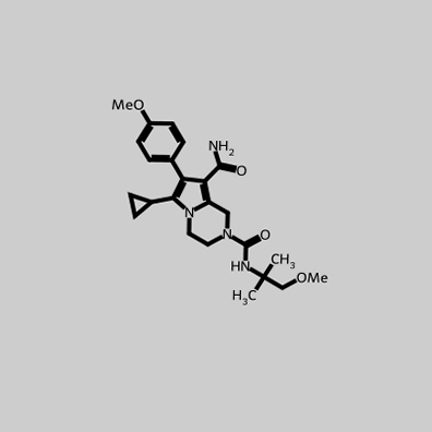 COCC(C)(C)NC(=O)N1CCn2c(c(C(N)=O)c(-c3ccc(OC)cc3)c2C2CC2)C1